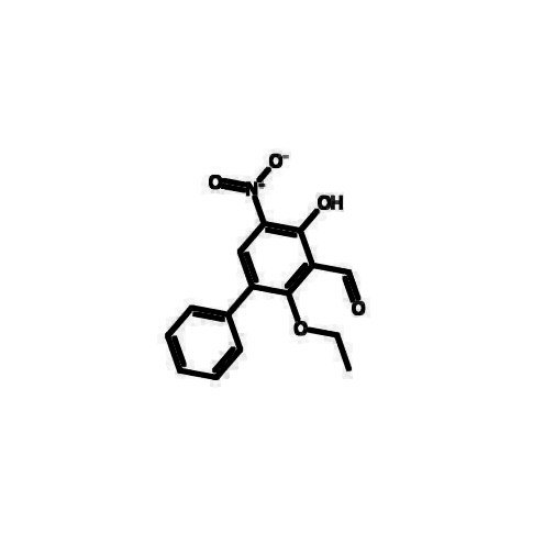 CCOc1c(-c2ccccc2)cc([N+](=O)[O-])c(O)c1C=O